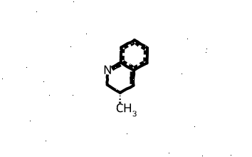 C[C@H]1C=c2ccccc2=NC1